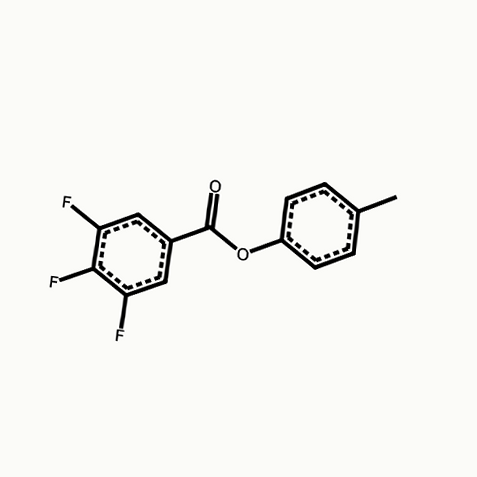 Cc1ccc(OC(=O)c2cc(F)c(F)c(F)c2)cc1